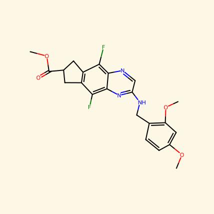 COC(=O)C1Cc2c(c(F)c3nc(NCc4ccc(OC)cc4OC)cnc3c2F)C1